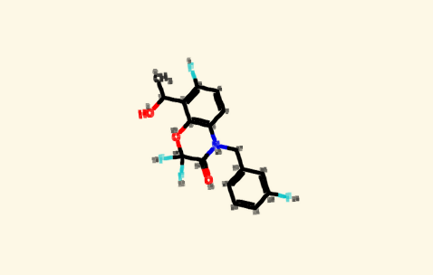 CC(O)c1c(F)ccc2c1OC(F)(F)C(=O)N2Cc1cccc(F)c1